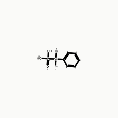 CC[Se](CC)(c1ccccc1)P(=O)(O)O